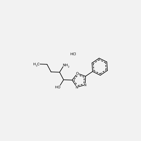 CCCC(N)C(O)c1nnc(-c2ccccc2)o1.Cl